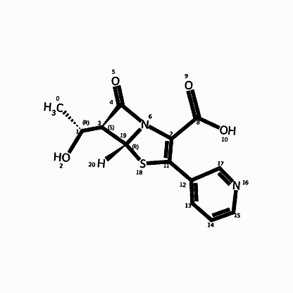 C[C@@H](O)[C@H]1C(=O)N2C(C(=O)O)=C(c3cccnc3)S[C@H]12